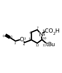 C#CCOCC1CCN(C(=O)O)C(C(C)(C)C)C1